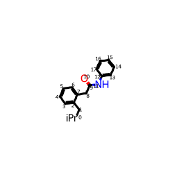 CC(C)Cc1ccccc1[CH]C(=O)Nc1ccccc1